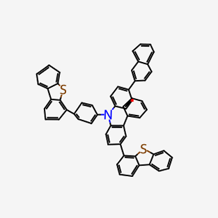 c1ccc(-c2cc(-c3cccc4c3sc3ccccc34)ccc2N(c2ccc(-c3ccc4ccccc4c3)cc2)c2ccc(-c3cccc4c3sc3ccccc34)cc2)cc1